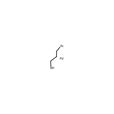 CCCCCCC(C)=O.[Pd]